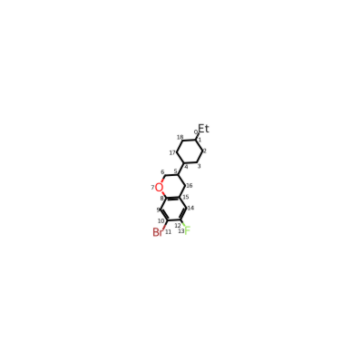 CCC1CCC(C2COc3cc(Br)c(F)cc3C2)CC1